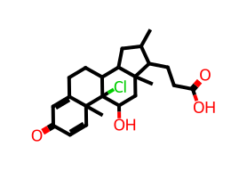 CC1CC2C3CCC4=CC(=O)C=CC4(C)C3(Cl)C(O)CC2(C)C1CCC(=O)O